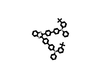 CC(C)(C)c1cccc(N(c2ccccc2)c2ccc(-c3ccc(-c4nc5ccccc5nc4-c4ccc(-c5ccc(N(c6ccccc6)c6cccc(C(C)(C)C)c6)cc5)cc4)cc3)cc2)c1